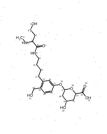 CNC(CSO)C(=O)NCCCCc1cc(OC2CC(O)CC(C(=O)O)O2)ccc1CO